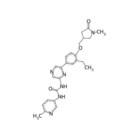 CCc1cc(-c2cncc(NC(=O)Nc3ccc(C)nc3)n2)ccc1OCC1CC(=O)N(C)C1